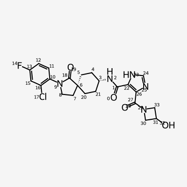 O=C(N[C@H]1CC[C@@]2(CCN(c3ccc(F)cc3Cl)C2=O)CC1)c1[nH]cnc1C(=O)N1CC(O)C1